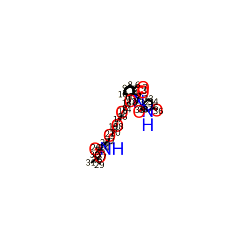 CN(C(=O)c1c(C=O)cccc1OCCOCCOCCOCCNC(=O)OC(C)(C)C)C1CCC(=O)NC1=O